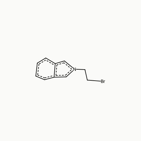 BrCCn1cc2ccccc2c1